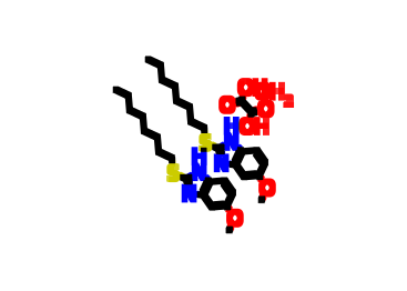 CCCCCCCCSc1nc2cc(OC)ccc2[nH]1.CCCCCCCCSc1nc2cc(OC)ccc2[nH]1.O.O=C(O)C(=O)O